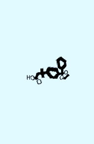 CC(C)(CC(=O)O)c1ccc(C2(c3ccccc3)OCCO2)cc1